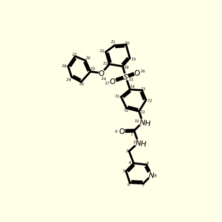 O=C(NCc1cccnc1)Nc1ccc(S(=O)(=O)c2ccccc2Oc2ccccc2)cc1